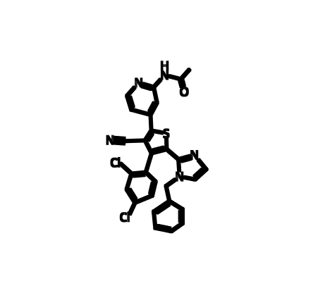 CC(=O)Nc1cc(-c2sc(-c3nccn3Cc3ccccc3)c(-c3ccc(Cl)cc3Cl)c2C#N)ccn1